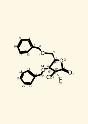 O=C1O[C@H](COCc2ccccc2)[C@H](OCc2ccccc2)[C@]1(F)Cl